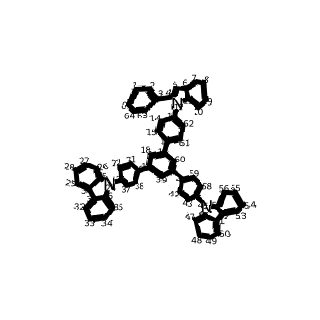 c1ccc(-c2cc3ccccc3n2-c2ccc(-c3cc(-c4ccc(-n5c6ccccc6c6ccccc65)cc4)cc(-c4ccc(-n5c6ccccc6c6ccccc65)cc4)c3)cc2)cc1